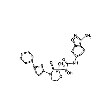 C[C@]1([C@@H](O)C(=O)Nc2ccc3c(N)noc3c2)OCCN(c2ccn(-c3cccnc3)n2)C1=O